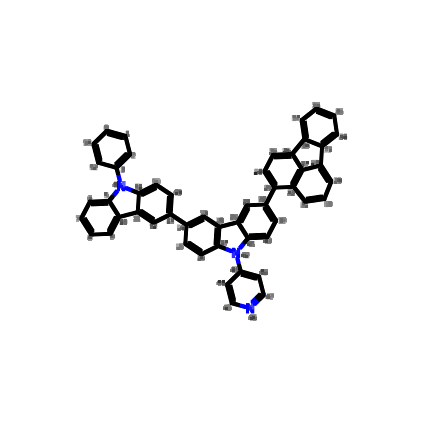 c1ccc(-n2c3ccccc3c3cc(-c4ccc5c(c4)c4cc(-c6ccc7c8c(cccc68)-c6ccccc6-7)ccc4n5-c4ccncc4)ccc32)cc1